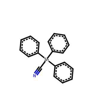 N#[C][Sn]([c]1ccccc1)([c]1ccccc1)[c]1ccccc1